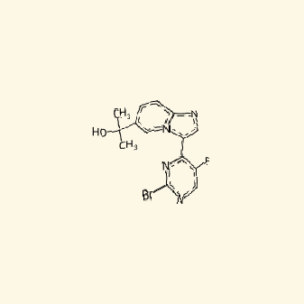 CC(C)(O)c1ccc2ncc(-c3nc(Br)ncc3F)n2c1